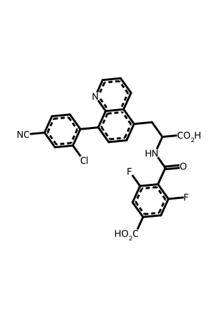 N#Cc1ccc(-c2ccc(CC(NC(=O)c3c(F)cc(C(=O)O)cc3F)C(=O)O)c3cccnc23)c(Cl)c1